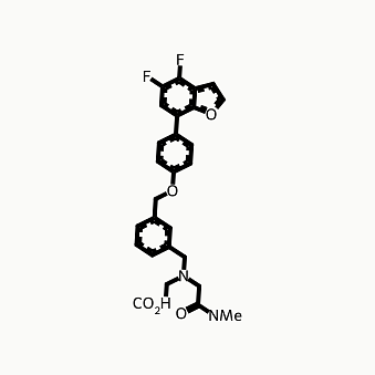 CNC(=O)CN(CC(=O)O)Cc1cccc(COc2ccc(-c3cc(F)c(F)c4ccoc34)cc2)c1